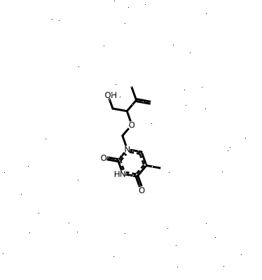 C=C(C)C(CO)OCn1cc(C)c(=O)[nH]c1=O